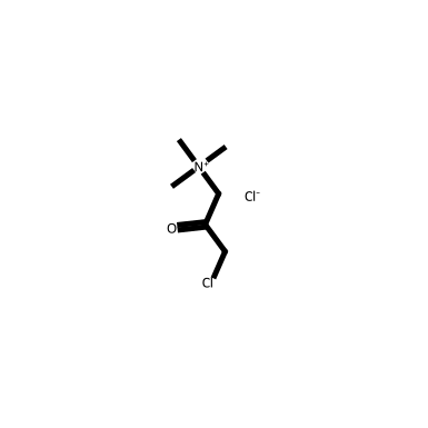 C[N+](C)(C)CC(=O)CCl.[Cl-]